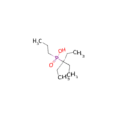 CCCP(=O)(O)C(CC)(CC)CC